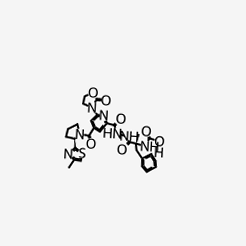 Cc1csc([C@H]2CCCN2C(=O)c2cc(C(=O)NNC(=O)[C@@](C)(Cc3ccccc3)NC(=O)O)nc(N3CCOC3=O)c2)n1